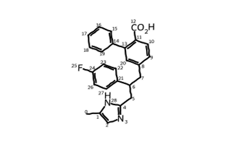 Cc1cnc(CC(Cc2ccc(C(=O)O)c(-c3ccccc3)c2)c2ccc(F)cc2)[nH]1